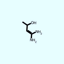 CC(O)C=C(N)N